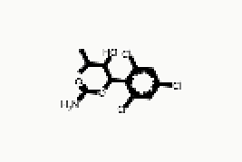 CC(C)C(O)C(OC(N)=O)c1c(Cl)cc(Cl)cc1Cl